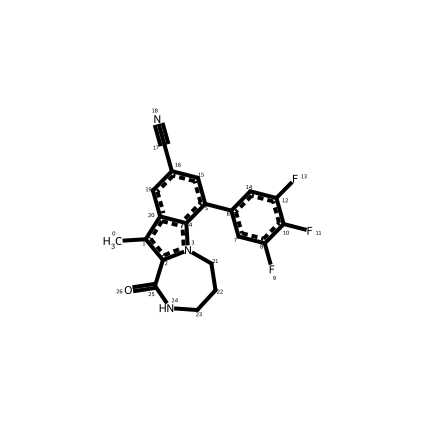 Cc1c2n(c3c(-c4cc(F)c(F)c(F)c4)cc(C#N)cc13)CCCNC2=O